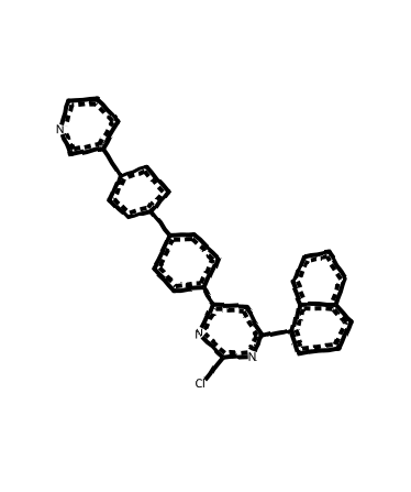 Clc1nc(-c2ccc(-c3ccc(-c4cccnc4)cc3)cc2)cc(-c2cccc3ccccc23)n1